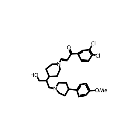 COc1ccc(C2CCN(CC(CO)C3CCN(C=CC(=O)c4ccc(Cl)c(Cl)c4)CC3)CC2)cc1